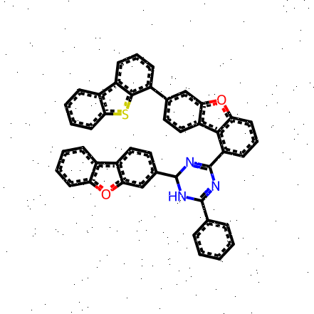 c1ccc(C2=NC(c3cccc4oc5cc(-c6cccc7c6sc6ccccc67)ccc5c34)=NC(c3ccc4c(c3)oc3ccccc34)N2)cc1